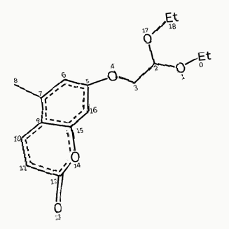 CCOC(COc1cc(C)c2ccc(=O)oc2c1)OCC